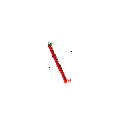 OCCCCCCCCCCCCCCCCCCCCCCCCCCCCCCCCBr